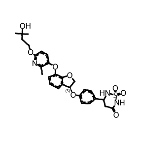 Cc1nc(OCCC(C)(C)O)ccc1Oc1cccc2c1OC[C@H]2Oc1ccc(C2CC(=O)NS(=O)(=O)N2)cc1